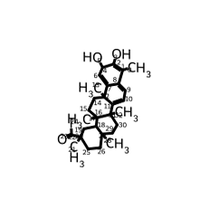 CC1=C(O)C(O)C=C2C1=CC=C1C2(C)CCC2(C)C3CC(C)(C(=O)I)CCC3(C)CCC12C